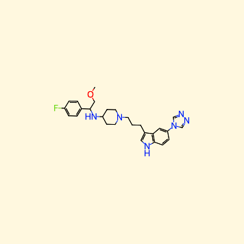 COCC(NC1CCN(CCCc2c[nH]c3ccc(-n4cnnc4)cc23)CC1)c1ccc(F)cc1